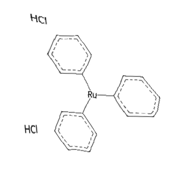 Cl.Cl.c1cc[c]([Ru]([c]2ccccc2)[c]2ccccc2)cc1